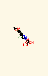 O=S(=O)(CC1CC1)c1ccc(-c2ccc(-c3nc4nc(O[C@H]5CO[C@H](CO)[C@@H](O)C5)[nH]c4cc3Cl)cc2)cc1